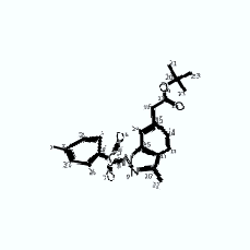 Cc1ccc(S(=O)(=O)n2nc(C)c3ccc(CC(=O)OC(C)(C)C)cc32)cc1